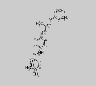 C=CC(C=C)=C/C=C(C)/C=C/c1ccc(NCC(/C=C\C(=C)C)=C/C)cc1